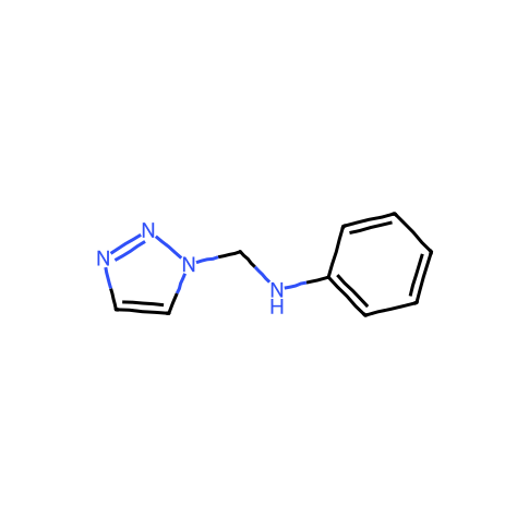 c1ccc(NCn2ccnn2)cc1